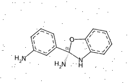 Nc1cccc([C@]2(N)Nc3ccccc3O2)c1